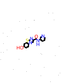 O=C(Nc1cccnc1)c1cn2c(n1)sc1cc(O)ccc12